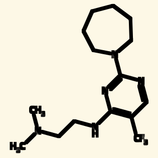 CN(C)CCNc1nc(N2CCCCCC2)ncc1C(F)(F)F